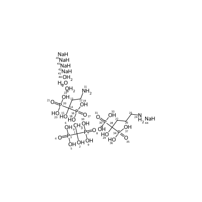 CC(O)(P(=O)(O)O)P(=O)(O)O.NCCC(O)(P(=O)(O)O)P(=O)(O)O.NCCCC(O)(P(=O)(O)O)P(=O)(O)O.O.O.O.[NaH].[NaH].[NaH].[NaH].[NaH]